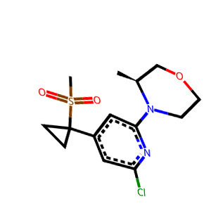 C[C@H]1COCCN1c1cc(C2(S(C)(=O)=O)CC2)cc(Cl)n1